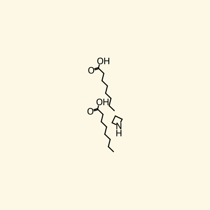 C1CNC1.CCCCCCCC(=O)O.CCCCCCCC(=O)O